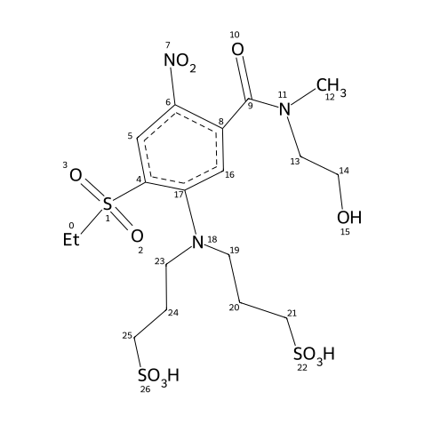 CCS(=O)(=O)c1cc([N+](=O)[O-])c(C(=O)N(C)CCO)cc1N(CCCS(=O)(=O)O)CCCS(=O)(=O)O